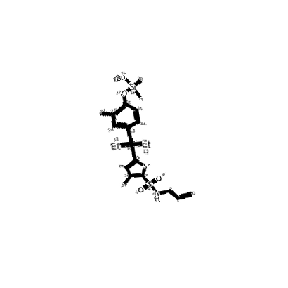 C=CCNS(=O)(=O)c1sc(C(CC)(CC)c2ccc(O[Si](C)(C)C(C)(C)C)c(C)c2)cc1C